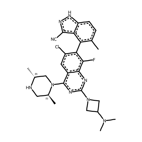 Cc1ccc2[nH]nc(C#N)c2c1-c1c(Cl)cc2c(N3C[C@@H](C)NC[C@@H]3C)nc(N3CC(N(C)C)C3)nc2c1F